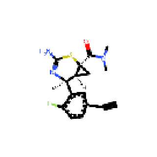 C#Cc1ccc(F)c([C@@]2(C)N=C(N)S[C@@]3(C(=O)N(C)C)C[C@H]32)c1